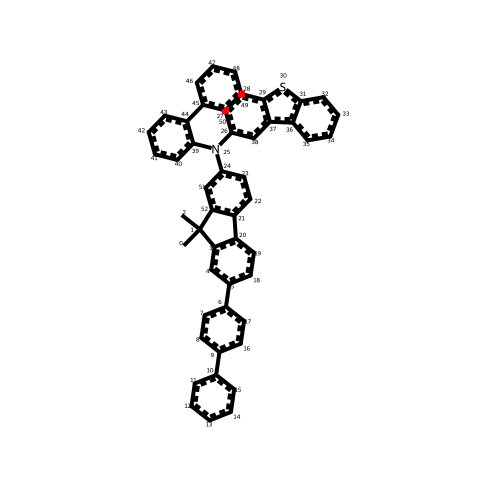 CC1(C)c2cc(-c3ccc(-c4ccccc4)cc3)ccc2-c2ccc(N(c3ccc4sc5ccccc5c4c3)c3ccccc3-c3ccccc3)cc21